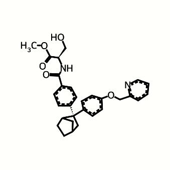 COC(=O)[C@@H](CO)NC(=O)c1ccc([C@]2(c3ccc(OCc4ccccn4)cc3)CC3CCC2C3)cc1